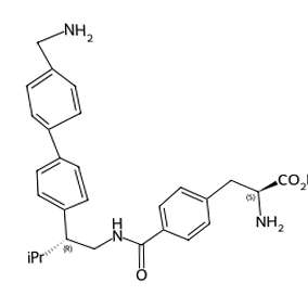 CC(C)[C@@H](CNC(=O)c1ccc(C[C@H](N)C(=O)O)cc1)c1ccc(-c2ccc(CN)cc2)cc1